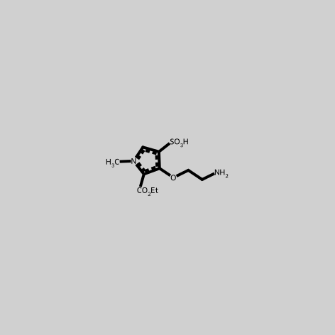 CCOC(=O)c1c(OCCN)c(S(=O)(=O)O)cn1C